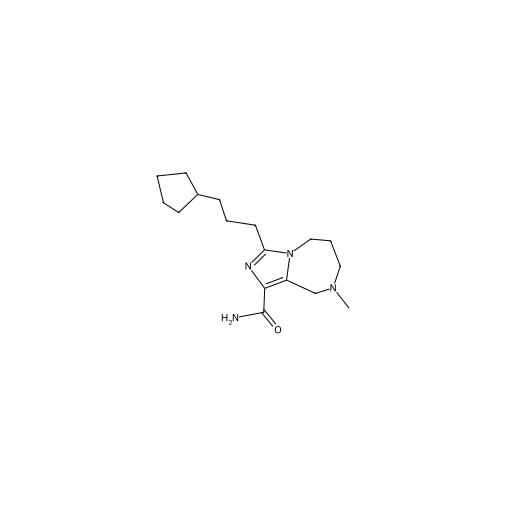 CN1CCCn2c(CCCC3CCCC3)nc(C(N)=O)c2C1